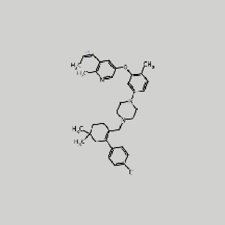 C/C=C\c1cc(Oc2cc(N3CCN(CC4=C(c5ccc(Cl)cc5)CC(C)(C)CC4)CC3)ccc2C)cnc1C